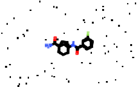 NC(=O)C12CCCC(NC(=O)c3cccc(F)c3)(CC1)C2